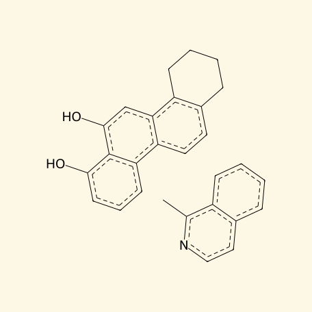 Cc1nccc2ccccc12.Oc1cccc2c1c(O)cc1c3c(ccc12)CCCC3